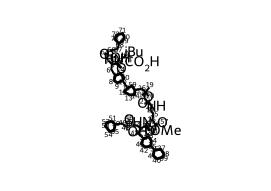 CCC(C)C(NC(=O)C(Cc1ccc(-c2cccc(CC(C)(C)OC(=O)NCCC(NC(=O)C(Cc3ccc(-c4ccccc4)cc3)CP(=O)(O)CCc3ccccc3)C(=O)OC)c2)cc1)CP(=O)(O)CCc1ccccc1)C(=O)O